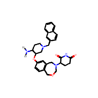 CCN(CC)C1CCN(Cc2ccc3ccccc3c2)CC1Oc1ccc2c(c1)CN(C1CCC(=O)NC1=O)COC2